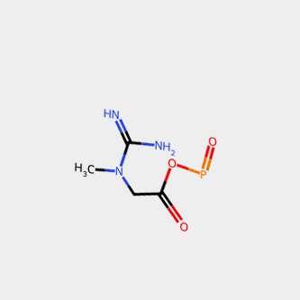 CN(CC(=O)OP=O)C(=N)N